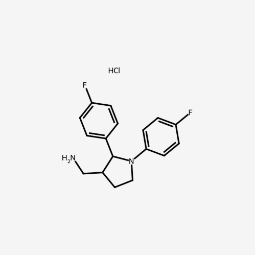 Cl.NCC1CCN(c2ccc(F)cc2)C1c1ccc(F)cc1